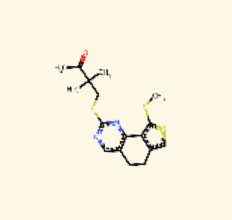 CSc1scc2c1-c1nc(SCC(C)(C)C(C)=O)ncc1CC2